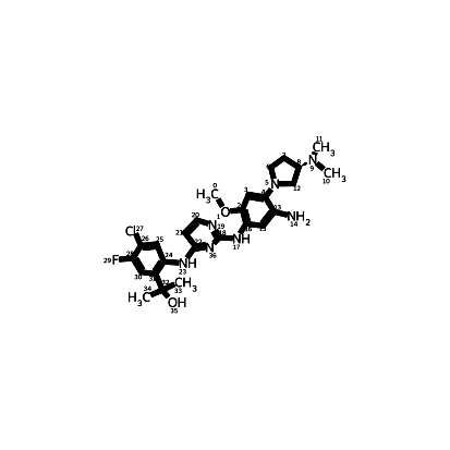 COc1cc(N2CC[C@H](N(C)C)C2)c(N)cc1Nc1nccc(Nc2cc(Cl)c(F)cc2C(C)(C)O)n1